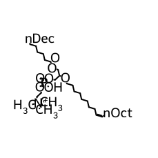 CCCCCCCC/C=C\CCCCCCCCOC(COC(=O)CCCCCCCCCCCCCCC)COP(=O)(O)OCC[N+](C)(C)C